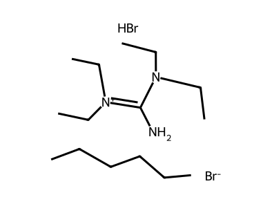 Br.CCCCCC.CCN(CC)C(N)=[N+](CC)CC.[Br-]